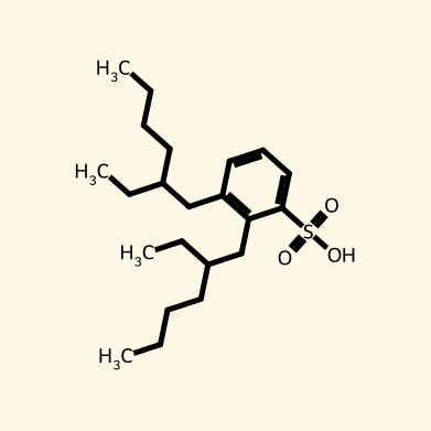 CCCCC(CC)Cc1cccc(S(=O)(=O)O)c1CC(CC)CCCC